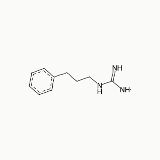 [NH]C(=N)NCCCc1ccccc1